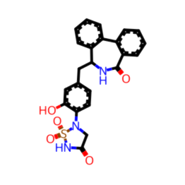 O=C1CN(c2ccc(CC3NC(=O)c4ccccc4-c4ccccc43)cc2O)S(=O)(=O)N1